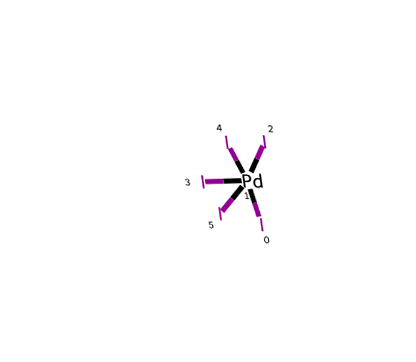 [I][Pd]([I])([I])([I])[I]